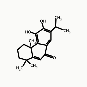 CC(C)c1cc2c(c(O)c1O)[C@@]1(C)CCCC(C)(C)C1=CC2=O